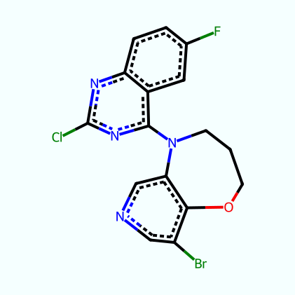 Fc1ccc2nc(Cl)nc(N3CCCOc4c(Br)cncc43)c2c1